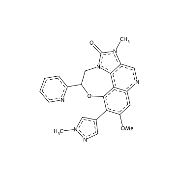 COc1cc2ncc3c4c2c(c1-c1cnn(C)c1)OC(c1ccccn1)Cn4c(=O)n3C